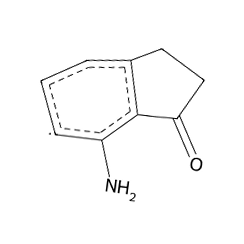 Nc1[c]ccc2c1C(=O)CC2